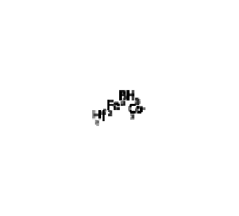 B.[Co].[Fe].[Hf]